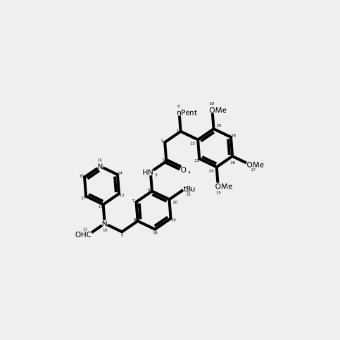 CCCCCC(CC(=O)Nc1cc(CN(C=O)c2ccncc2)ccc1C(C)(C)C)c1cc(OC)c(OC)cc1OC